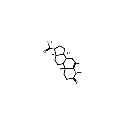 CC1=C2N(C)C(=O)CC[C@]2(C)C2CC[C@]3(C)[C@@H](C(=O)O)CC[C@H]3C2C1